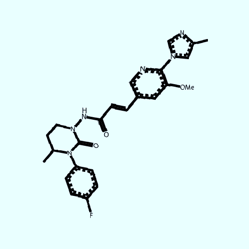 COc1cc(/C=C/C(=O)NN2CCC(C)N(c3ccc(F)cc3)C2=O)cnc1-n1cnc(C)c1